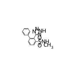 CNS(=O)(=O)c1cccc(-c2ccccc2)c1-c1nn[nH]n1